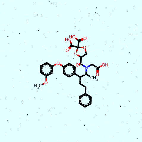 COc1cccc(Oc2ccc(C(CCc3ccccc3)C(C)N(CC(=O)O)C(=O)C3COC(C(=O)O)(C(=O)O)O3)cc2)c1